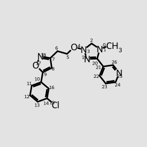 CN1CN(OCCc2cc(-c3cccc(Cl)c3)on2)N=C1c1cccnc1